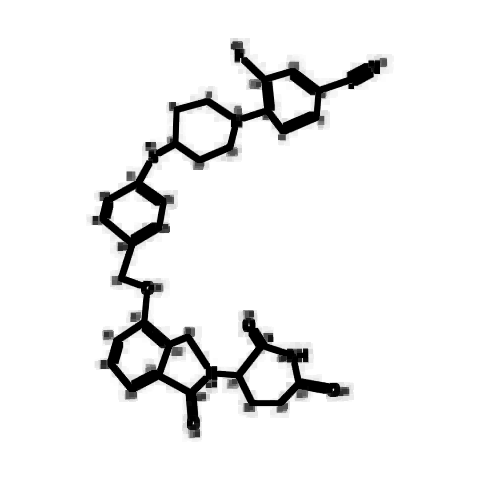 N#Cc1ccc(N2CCC(Sc3ccc(COc4cccc5c4CN(C4CCC(=O)NC4=O)C5=O)cc3)CC2)c(F)c1